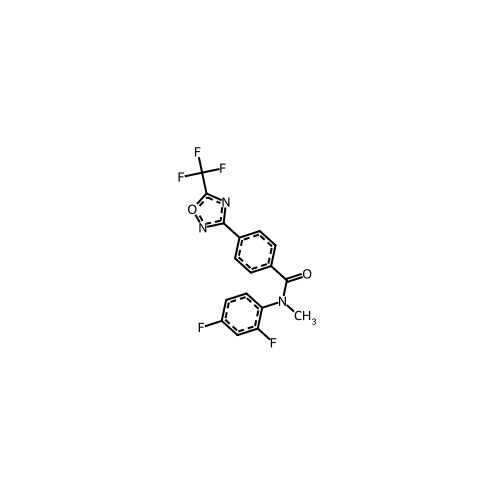 CN(C(=O)c1ccc(-c2noc(C(F)(F)F)n2)cc1)c1ccc(F)cc1F